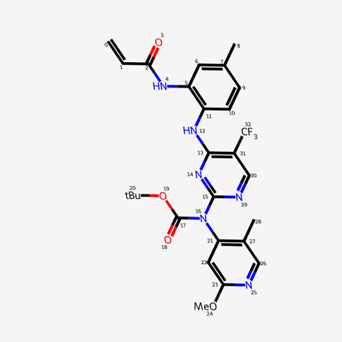 C=CC(=O)Nc1cc(C)ccc1Nc1nc(N(C(=O)OC(C)(C)C)c2cc(OC)ncc2C)ncc1C(F)(F)F